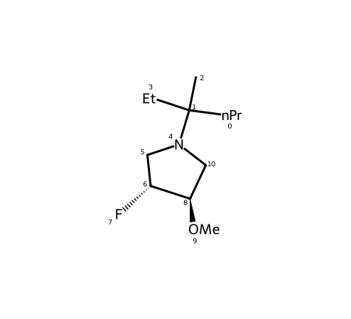 CCCC(C)(CC)N1C[C@@H](F)[C@H](OC)C1